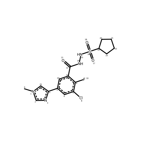 Cn1cnc(-c2cc(Cl)c(F)c(C(=O)NNS(=O)(=O)C3CCCC3)c2)c1